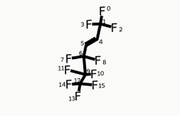 FC(F)(F)/C=C/C(F)(F)C(F)(F)C(F)(F)F